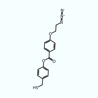 [N-]=[N+]=NCCOc1ccc(C(=O)Oc2ccc(CS)cc2)cc1